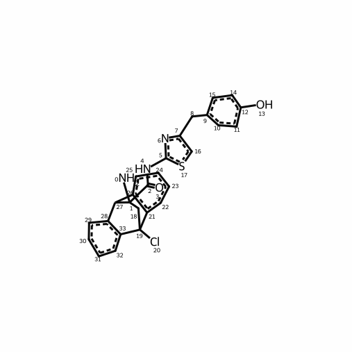 NC1(C(=O)Nc2nc(Cc3ccc(O)cc3)cs2)CC2(Cl)c3ccccc3C1c1ccccc12